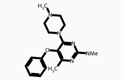 CNc1nc(C)c(Oc2ccccc2)c(N2CCN(C)CC2)n1